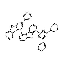 c1ccc(-c2cc(-c3cccc4sc5c(-c6nc(-c7ccccc7)nc(-c7ccccc7)n6)cccc5c34)c3c(c2)sc2ccccc23)cc1